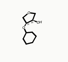 O[C@@H]1COC[C@@H]1OC1CCCCC1